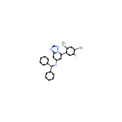 Cc1cc(C#N)c(F)cc1-c1cc(N=C(c2ccccc2)c2ccccc2)cc2ncnn12